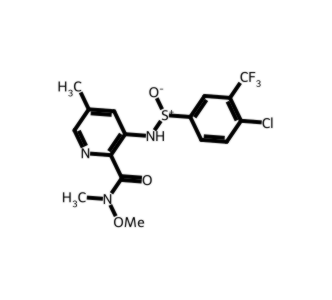 CON(C)C(=O)c1ncc(C)cc1N[S+]([O-])c1ccc(Cl)c(C(F)(F)F)c1